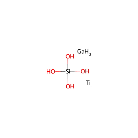 O[Si](O)(O)O.[GaH3].[Ti]